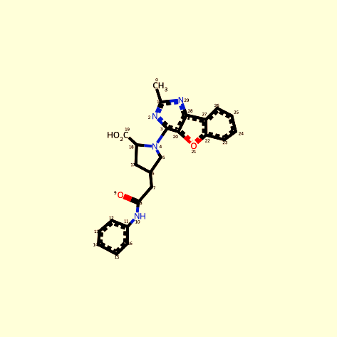 Cc1nc(N2CC(CC(=O)Nc3ccccc3)CC2C(=O)O)c2oc3ccccc3c2n1